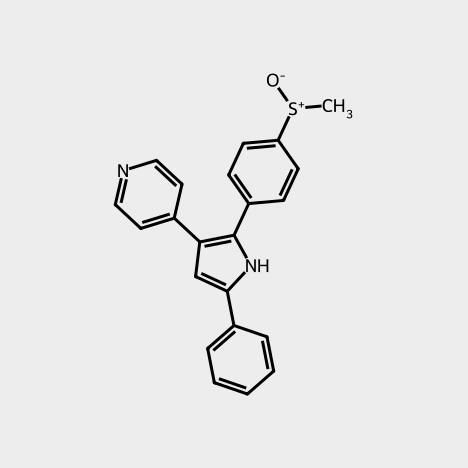 C[S+]([O-])c1ccc(-c2[nH]c(-c3ccccc3)cc2-c2ccncc2)cc1